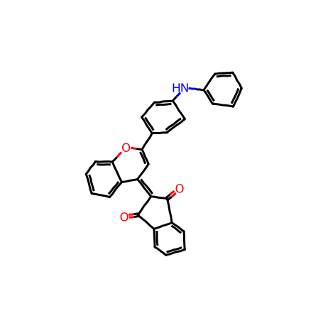 O=C1C(=C2C=C(c3ccc(Nc4ccccc4)cc3)Oc3ccccc32)C(=O)c2ccccc21